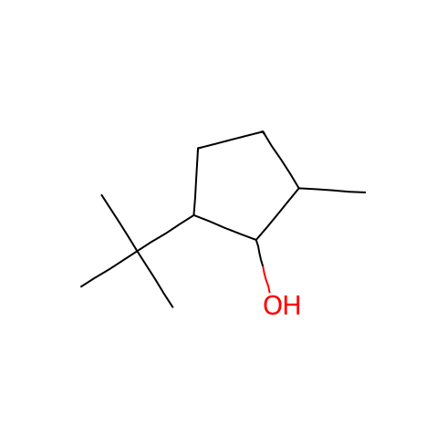 CC1CCC(C(C)(C)C)C1O